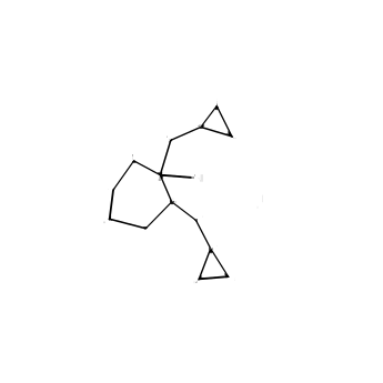 Cl.Cl.NC1(CC2CC2)CCCCC1CC1CC1